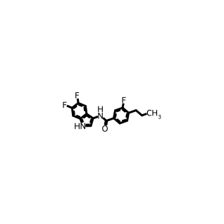 CCCc1ccc(C(=O)Nc2c[nH]c3cc(F)c(F)cc23)cc1F